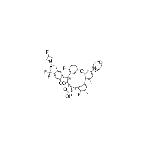 Cc1cc2cc(c1F)[C@H](CC(=O)O)NC(=O)[C@@H](n1cc(CCN3CC(F)C3)c(C(F)(F)F)cc1=O)c1cc(ccc1F)Oc1cc(N3C4CCC3COC4)cc(C)c1-2